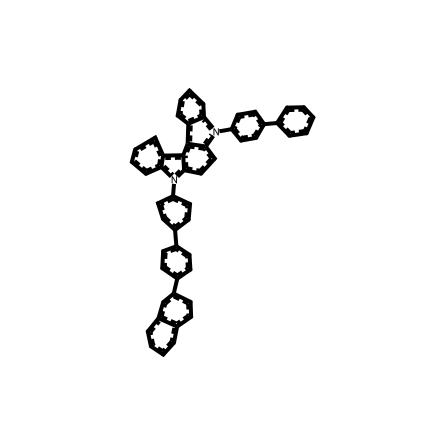 c1ccc(-c2ccc(-n3c4ccccc4c4c5c6ccccc6n(-c6ccc(-c7ccc(-c8ccc9ccccc9c8)cc7)cc6)c5ccc43)cc2)cc1